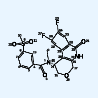 CN(C(=O)c1cccc(S(C)(=O)=O)c1)[C@H]1COCc2[nH]c(=O)c3cc(F)c(F)cc3c21